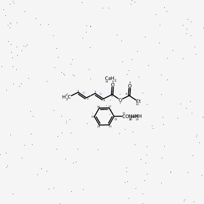 C/C=C/C=C/C(=O)OC(=O)CC.O=C(O)c1ccccc1.[CaH2].[KH].[NaH]